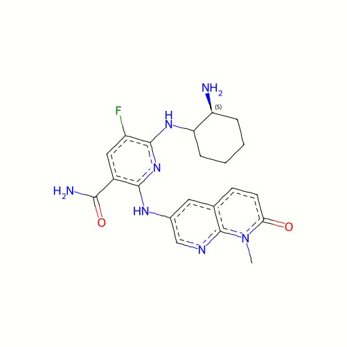 Cn1c(=O)ccc2cc(Nc3nc(NC4CCCC[C@@H]4N)c(F)cc3C(N)=O)cnc21